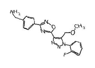 COCc1c(-c2nc(-c3ccc(CN)cc3)no2)nnn1-c1ccccc1F